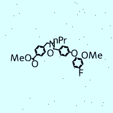 CCCN(Cc1ccc(C(=O)OC)cc1)C(=O)c1ccc(Oc2ccc(F)cc2OC)cc1